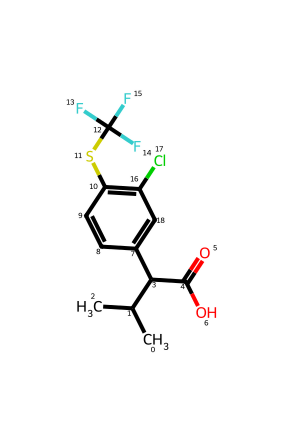 CC(C)C(C(=O)O)c1ccc(SC(F)(F)F)c(Cl)c1